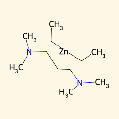 CN(C)CCCN(C)C.C[CH2][Zn][CH2]C